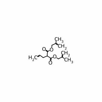 C=CCC(C(=O)OCC(=C)C)C(=O)OCC(=C)C